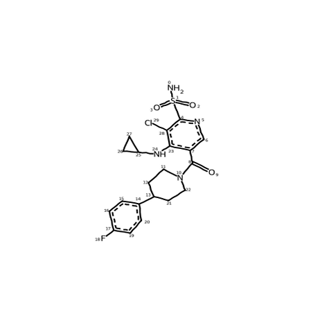 NS(=O)(=O)c1ncc(C(=O)N2CCC(c3ccc(F)cc3)CC2)c(NC2CC2)c1Cl